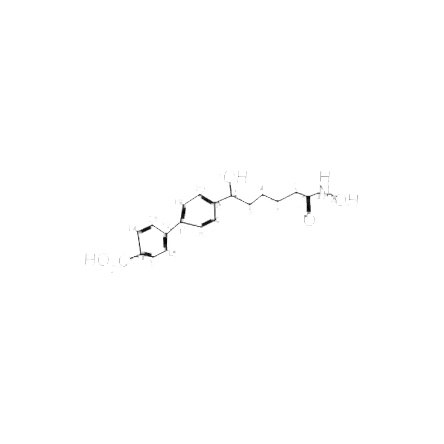 O=C(CCCCC(O)c1ccc(-c2ccc(C(=O)O)cc2)cc1)NO